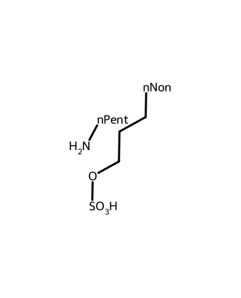 CCCCCCCCCCCCOS(=O)(=O)O.CCCCCN